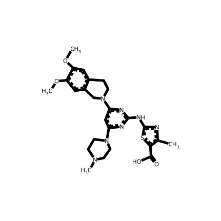 COc1cc2c(cc1OC)CN(c1cc(N3CCN(C)CC3)nc(Nc3nc(C)c(C(=O)O)s3)n1)CC2